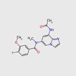 COc1cc(C(=O)N(C)c2cc(NC(C)=O)c3nccn3c2)ccc1F